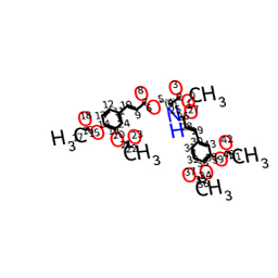 COC(=O)[C@@H](COC(=O)C=Cc1ccc(OC(C)=O)c(OC(C)=O)c1)NC(=O)C=Cc1ccc(OC(C)=O)c(OC(C)=O)c1